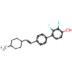 CC1CCC(C=Cc2ccc(-c3ccc(O)c(F)c3F)cc2)CC1